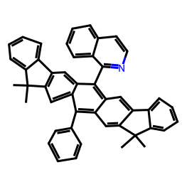 CC1(C)c2ccccc2-c2cc3c(-c4nccc5ccccc45)c4cc5c(cc4c(-c4ccccc4)c3cc21)C(C)(C)c1ccccc1-5